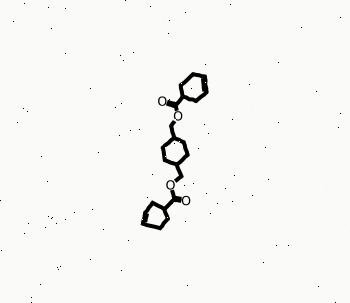 O=C(OCC1CCC(COC(=O)C2CC=CCC2)CC1)C1CC=CCC1